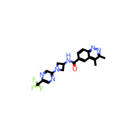 Cc1nnc2ccc(C(=O)NC3CN(c4cnc(C(F)(F)F)cn4)C3)cc2c1C